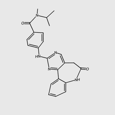 CC(C)N(C)C(=O)c1ccc(Nc2ncc3c(n2)-c2ccccc2NC(=O)C3)cc1